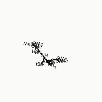 CO[Si](CCCOCC(O)CNCCNCCN(CCN(CCN)CC(O)COCCC[Si](OC)(OC)OC)CC(O)COC(C)(C)C)(OC)OC